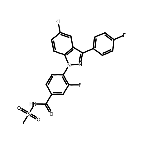 CS(=O)(=O)NC(=O)c1ccc(-n2nc(-c3ccc(F)cc3)c3cc(Cl)ccc32)c(F)c1